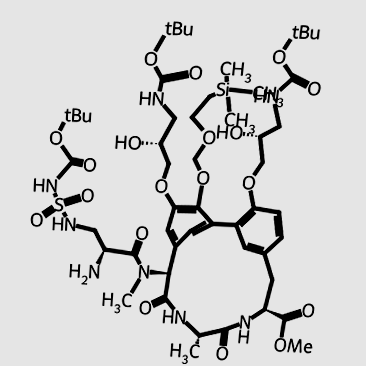 COC(=O)[C@@H]1Cc2ccc(OC[C@H](O)CNC(=O)OC(C)(C)C)c(c2)-c2cc(cc(OC[C@H](O)CNC(=O)OC(C)(C)C)c2OCOCC[Si](C)(C)C)[C@H](N(C)C(=O)[C@@H](N)CNS(=O)(=O)NC(=O)OC(C)(C)C)C(=O)N[C@@H](C)C(=O)N1